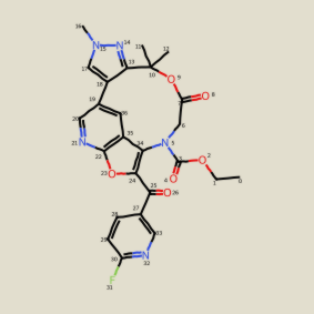 CCOC(=O)N1CC(=O)OC(C)(C)c2nn(C)cc2-c2cnc3oc(C(=O)c4ccc(F)nc4)c1c3c2